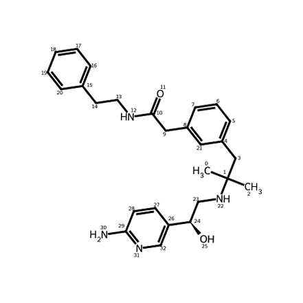 CC(C)(Cc1cccc(CC(=O)NCCc2ccccc2)c1)NC[C@@H](O)c1ccc(N)nc1